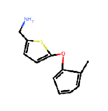 Cc1ccccc1Oc1ccc(CN)s1